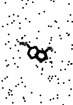 Cc1noc2c1CN(C(=O)O)CC2